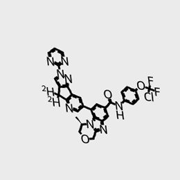 [2H]C1([2H])c2cn(-c3ncccn3)nc2-c2cc(-c3cc(C(=O)Nc4ccc(OC(F)(F)Cl)cc4)cc4nc5n(c34)[C@H](C)COC5)cnc21